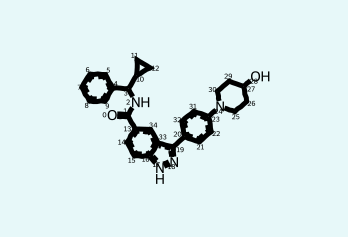 O=C(NC(c1ccccc1)C1CC1)c1ccc2[nH]nc(-c3ccc(N4CCC(O)CC4)cc3)c2c1